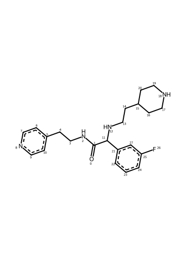 O=C(NCCc1ccncc1)C(NCCC1CCNCC1)c1cccc(F)c1